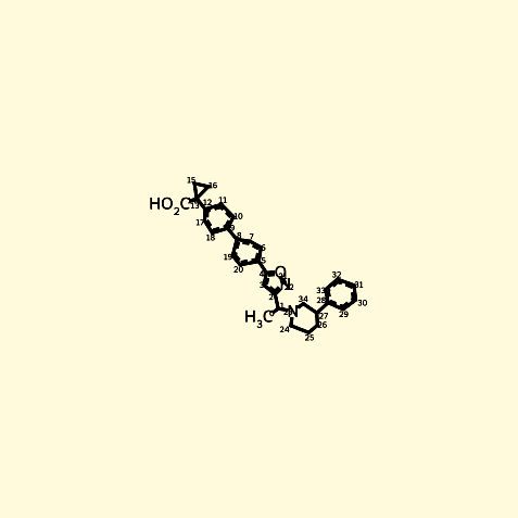 CC(c1cc(-c2ccc(-c3ccc(C4(C(=O)O)CC4)cc3)cc2)on1)N1CCCC(c2ccccc2)C1